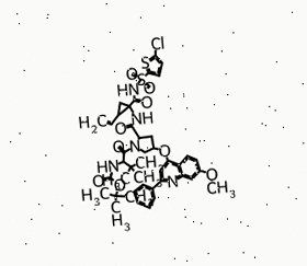 C=CC1CC1(NC(=O)C1CC(Oc2cc(-c3ccccc3)nc3cc(OC)ccc23)CN1C(=O)C(NC(=O)OC(C)(C)C)C(C)(C)C)C(=O)NS(=O)(=O)c1ccc(Cl)s1